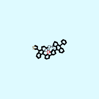 C=C/C=C\c1c(C)c(-c2cccc3c2oc2cc(-c4c5ccccc5c(-c5ccccc5)c5ccccc45)ccc23)c2ccccc2c1-c1ccsc1